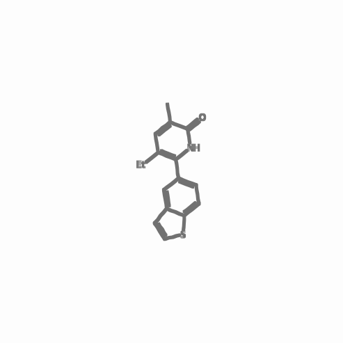 CCc1cc(C)c(=O)[nH]c1-c1ccc2sccc2c1